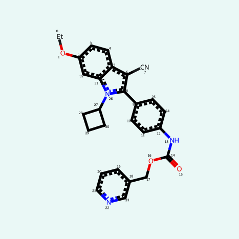 CCOc1ccc2c(C#N)c(-c3ccc(NC(=O)OCc4cccnc4)cc3)n(C3CCC3)c2c1